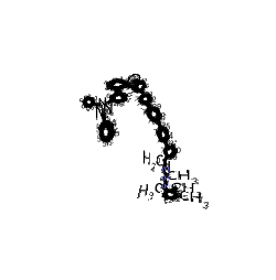 C=C(/N=C/C(C)=C/C=C(\C)c1cccc(C)c1C)c1cccc(-c2ccc(-c3ccc(-c4ccc(-c5ccc6oc7cccc(-c8cccc(-c9nc(-c%10ccccc%10)nc(-c%10ccccc%10)n9)c8)c7c6c5)cc4)cc3)cc2)c1